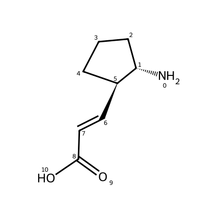 N[C@H]1CCC[C@@H]1/C=C/C(=O)O